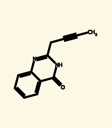 CC#CCc1nc2ccccc2c(=O)[nH]1